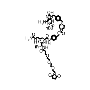 CCCCOc1nc(N)c2nc(O)n(Cc3ccc(CN4CCN(C(=O)OCc5ccc(NC(=O)[C@H](CCCNC(N)=O)NC(=O)[C@@H](NC(=O)CCOCCOCCOCCN6C(=O)C=CC6=O)C(C)C)cc5)CC4)cc3)c2n1